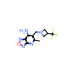 Cc1nc2nonc2c(N)c1CN1CC(C(F)(F)F)C1